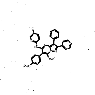 COc1ccc(-c2c(Nc3ccc(Cl)cn3)nc3c(-c4ccccc4)c(-c4ccccc4)nn3c2OC)cc1